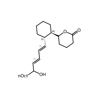 CCCCCCCCC(O)/C=C/C=C/[C@@H]1CCCC[C@H]1C1CCCC(=O)O1